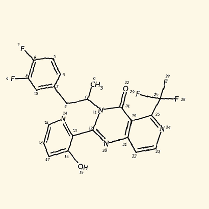 CC(Cc1ccc(F)c(F)c1)n1c(-c2ncccc2O)nc2ccnc(C(F)(F)F)c2c1=O